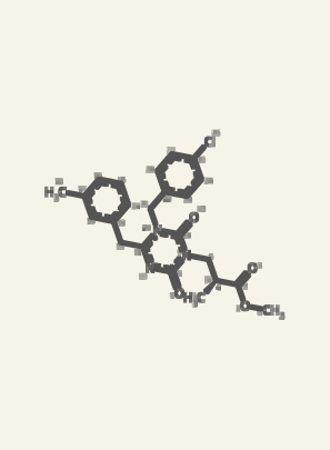 COC(=O)[C@@H](C)Cn1c(=O)nc(Cc2cccc(C)c2)n(Cc2ccc(Cl)cc2)c1=O